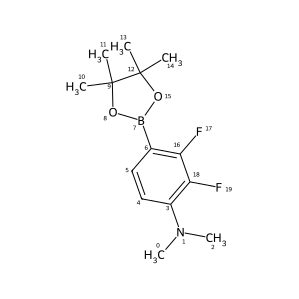 CN(C)c1ccc(B2OC(C)(C)C(C)(C)O2)c(F)c1F